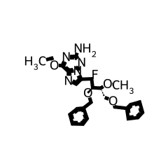 CCOc1nc(N)nn2c([C@H](F)[C@H](OCc3ccccc3)[C@@H](COCc3ccccc3)OC)cnc12